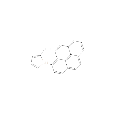 CCCCC1=CC=C[SH]1c1ccc2ccc3cccc4ccc1c2c34